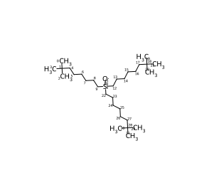 CC(C)(C)CCCCCC[Si]([O])(CCCCCCC(C)(C)C)CCCCCCC(C)(C)C